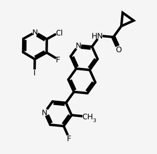 Cc1c(F)cncc1-c1ccc2cc(NC(=O)C3CC3)ncc2c1.Fc1c(I)ccnc1Cl